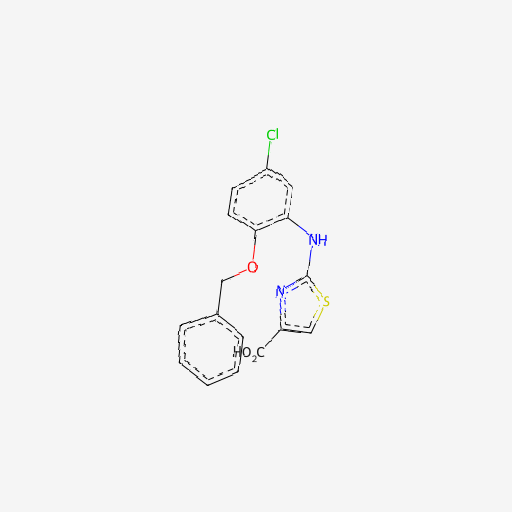 O=C(O)c1csc(Nc2cc(Cl)ccc2OCc2ccccc2)n1